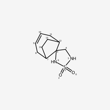 O=S1(=O)NCC2(N1)C1CC=CCC2CC1